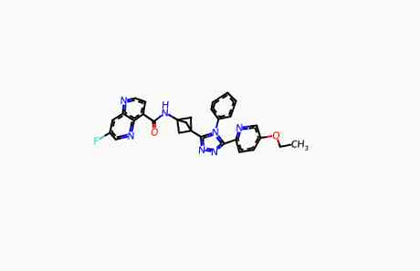 CCOc1ccc(-c2nnc(C34CC(NC(=O)c5ccnc6cc(F)cnc56)(C3)C4)n2-c2ccccc2)nc1